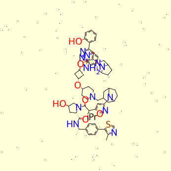 Cc1ncsc1-c1ccc([C@H](C)NC(=O)[C@@H]2C[C@@H](O)CN2C(=O)[C@@H](c2cc(N3CC4CCC3CC(CN3CCC(O[C@H]5C[C@H](Oc6cc(N7C8CCC7CN(c7cc(-c9ccccc9O)nnc7N)C8)ccn6)C5)CC3)C4)no2)C(C)C)cc1